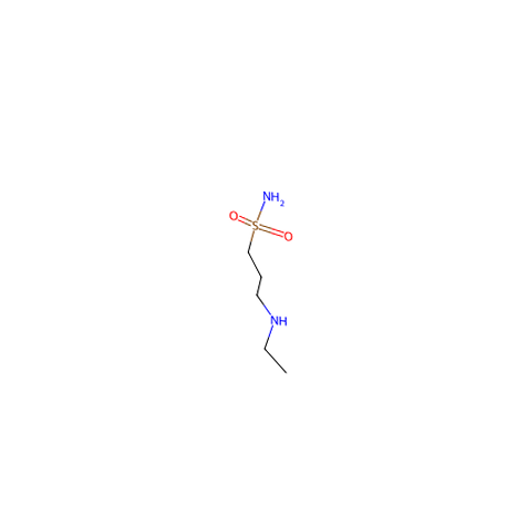 CCNCCCS(N)(=O)=O